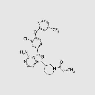 C=CC(=O)N1CCCC(c2nc(-c3ccc(Oc4cc(C(F)(F)F)ccn4)c(Cl)c3)n3c(N)nccc23)C1